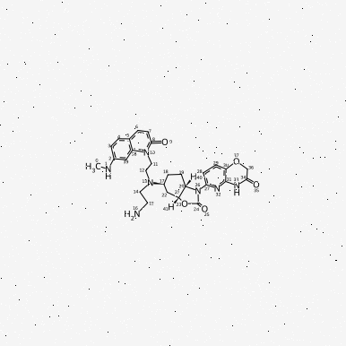 CNc1ccc2ccc(=O)n(CCN(CCN)[C@H]3CC[C@H]4[C@@H](C3)OC(=O)N4c3ccc4c(n3)NC(=O)CO4)c2c1